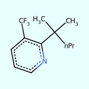 CCCC(C)(C)c1ncccc1C(F)(F)F